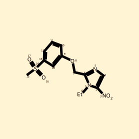 CCn1c([N+](=O)[O-])cnc1COc1cccc(S(C)(=O)=O)c1